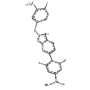 CCCN(CCC)c1cc(F)c(-c2ccc3[nH]c(Oc4ccc(C)c(C(=O)O)c4)cc3n2)c(F)c1